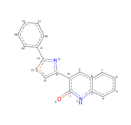 O=c1[nH]c2ccccc2cc1-c1csc(-c2ccccc2)n1